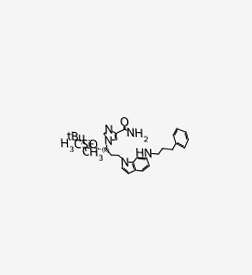 CC(C)(C)[Si](C)(C)OC[C@@H](CCn1ccc2ccc(NCCCc3ccccc3)cc21)n1cnc(C(N)=O)c1